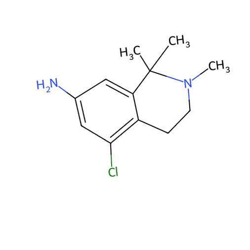 CN1CCc2c(Cl)cc(N)cc2C1(C)C